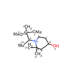 CO[Si](C)(OC)C(N1CCC(O)CC1(C)C)C(C)(C)C